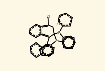 ClC1=c2ccccc2=C(c2cccc3ccccc23)C(P(c2ccccc2)c2ccccc2)(P(c2ccccc2)c2ccccc2)[C@H]1Cl